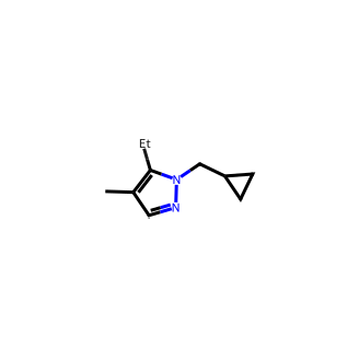 CCc1c(C)[c]nn1CC1CC1